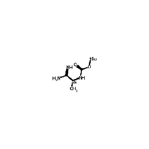 C[C@H](NC(=O)OC(C)(C)C)C(=N)N